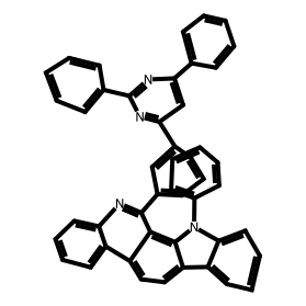 c1ccc(-c2cc(-c3cccc(-c4nc5ccccc5c5ccc6c7ccccc7n(-c7ccccc7)c6c45)c3)nc(-c3ccccc3)n2)cc1